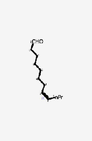 CCC/C=C\CCCCCCC=O